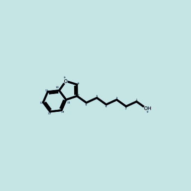 OCCCCCCc1coc2ccccc12